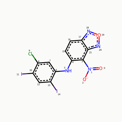 O=[N+]([O-])c1c(Nc2cc(Cl)c(I)cc2I)ccc2nonc12